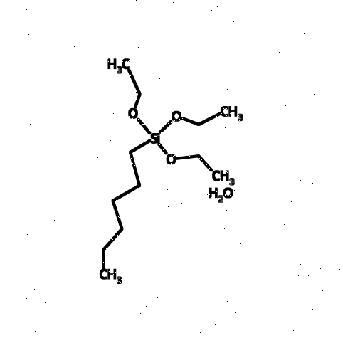 CCCCCC[Si](OCC)(OCC)OCC.O